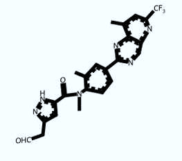 Cc1cc(-c2ncc3nc(C(F)(F)F)cc(C)c3n2)ccc1N(C)C(=O)c1cc(CC=O)n[nH]1